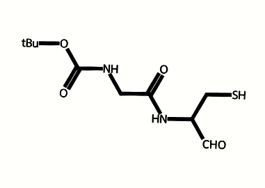 CC(C)(C)OC(=O)NCC(=O)NC(C=O)CS